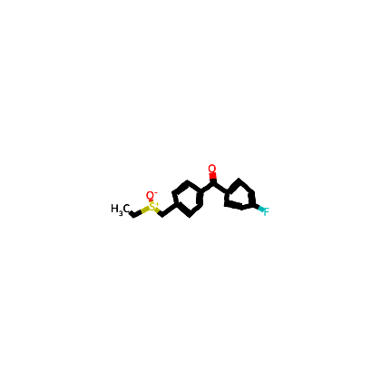 CC[S+]([O-])Cc1ccc(C(=O)c2ccc(F)cc2)cc1